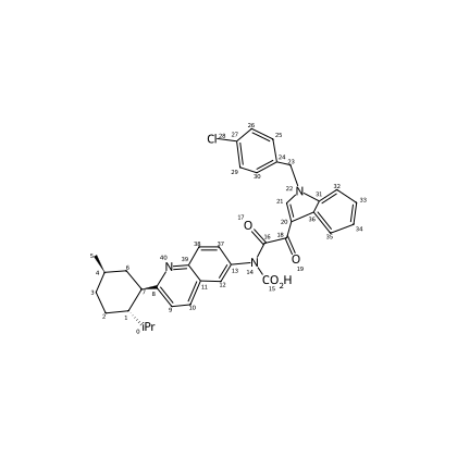 CC(C)[C@@H]1CC[C@@H](C)C[C@H]1c1ccc2cc(N(C(=O)O)C(=O)C(=O)c3cn(Cc4ccc(Cl)cc4)c4ccccc34)ccc2n1